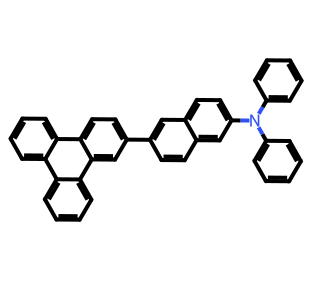 c1ccc(N(c2ccccc2)c2ccc3cc(-c4ccc5c6ccccc6c6ccccc6c5c4)ccc3c2)cc1